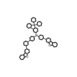 c1ccc(C2(c3ccccc3)c3ccccc3-c3cc(N(c4ccc(-c5cccc(-c6ccc7oc8ccccc8c7c6)c5)cc4)c4ccc(-c5ccc6c(c5)oc5ccccc56)cc4)ccc32)cc1